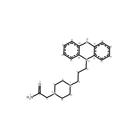 NC(=O)CN1CCN(CCCN2c3ccccc3Sc3ccccc32)CC1